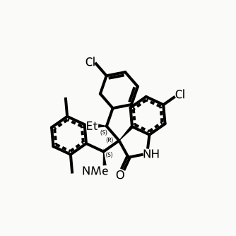 CC[C@@H](C1C=CC=C(Cl)C1)[C@@]1([C@@H](NC)c2cc(C)ccc2C)C(=O)Nc2cc(Cl)ccc21